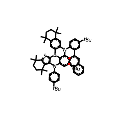 CC(C)(C)c1ccc(N2c3cc(C(C)(C)C)cc4c3B(c3cc5c(cc3N4c3ccc(C(C)(C)C)cc3-c3ccc4ccccc4c3)C(C)(C)CCC5(C)C)c3sc4c(c32)C(C)(C)CCC4(C)C)cc1